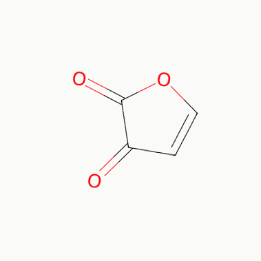 O=C1C=COC1=O